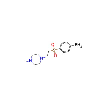 Bc1ccc(S(=O)(=O)CCN2CCN(C)CC2)cc1